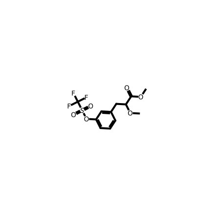 COC(=O)C(Cc1cccc(OS(=O)(=O)C(F)(F)F)c1)OC